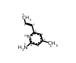 C/C=C/c1cc(C)cc(N)n1